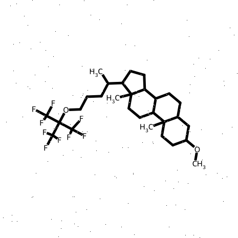 COC1CCC2(C)C(CCC3C2CCC2(C)C(C(C)CCCOC(C(F)(F)F)(C(F)(F)F)C(F)(F)F)CCC32)C1